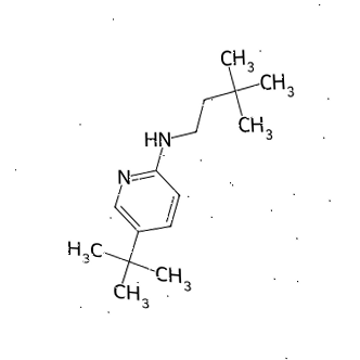 CC(C)(C)CCNc1ccc(C(C)(C)C)cn1